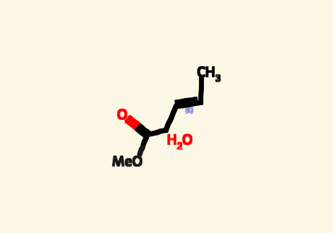 C/C=C/CC(=O)OC.O